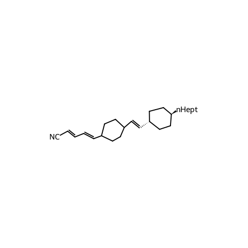 CCCCCCC[C@H]1CC[C@H](/C=C/C2CCC(C=CC=CC#N)CC2)CC1